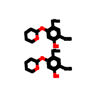 CCCCCCc1cc(C=O)c(O)cc1OC1CCCCO1.CCCCCCc1cc(C=O)c(O)cc1OC1CCCCO1